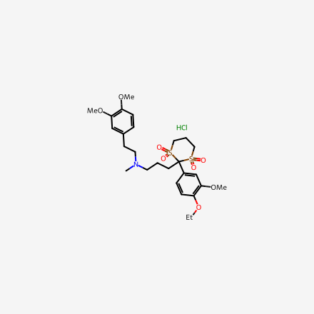 CCOc1ccc(C2(CCCN(C)CCc3ccc(OC)c(OC)c3)S(=O)(=O)CCCS2(=O)=O)cc1OC.Cl